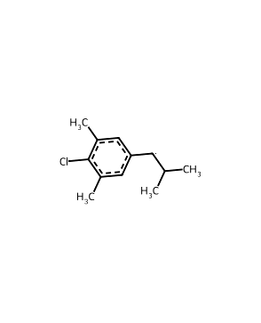 Cc1cc([CH]C(C)C)cc(C)c1Cl